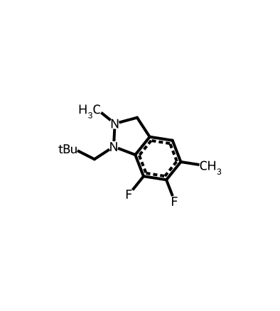 Cc1cc2c(c(F)c1F)N(CC(C)(C)C)N(C)C2